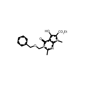 CCOC(=O)c1c(O)c2c(=O)n(COCc3ccccc3)c(C)nc2n1C